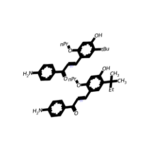 CCCOc1cc(O)c(C(C)(C)C)cc1/C=C/C(=O)c1ccc(N)cc1.CCCOc1cc(O)c(C(C)(C)CC)cc1/C=C/C(=O)c1ccc(N)cc1